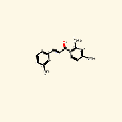 COc1ccc(C(=O)/C=C/c2cccc([N+](=O)[O-])c2)c(OC)c1